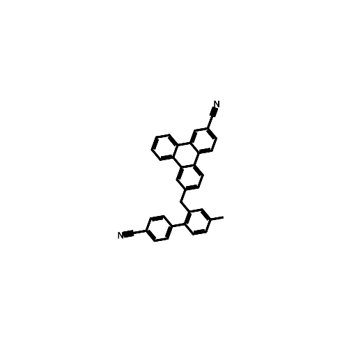 Cc1ccc(-c2ccc(C#N)cc2)c(Cc2ccc3c4ccc(C#N)cc4c4ccccc4c3c2)c1